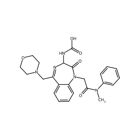 CN(C(=O)CN1C(=O)C(NC(=O)O)N=C(CN2CCOCC2)c2ccccc21)c1ccccc1